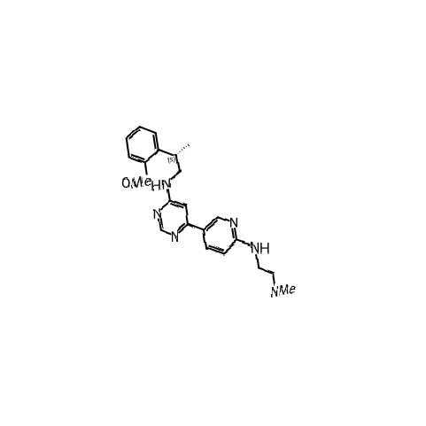 CNCCNc1ccc(-c2cc(NC[C@@H](C)c3ccccc3OC)ncn2)cn1